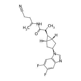 C=C(CCC#N)NC(=O)C(C)[C@H]1[C@@H]2C[C@@H](n3cnc4cc(F)c(F)cc43)C[C@@H]21